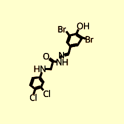 O=C(CNc1ccc(Cl)c(Cl)c1)NN=Cc1cc(Br)c(O)c(Br)c1